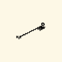 CCCCCCCCCCCCCCCCCCCCC(c1ccccc1)[NH+](C)[O-]